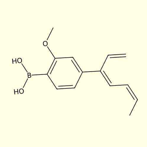 C=C/C(=C\C=C/C)c1ccc(B(O)O)c(OC)c1